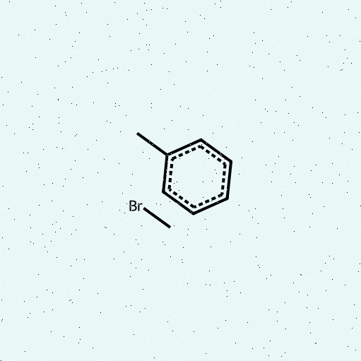 CBr.Cc1ccccc1